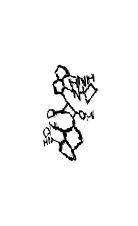 O=C1C(c2ccc3cccc4c3c2NC2(CCC2)N4)=C(O)/C1=c1\ccc2cccc3c2c1=NC1(CCC1)N3